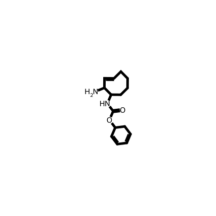 NC1/C=C/CCCCC1NC(=O)OC1C=CC=CC1